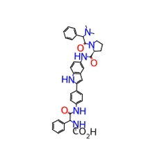 CN(C)C(C(=O)N1CCC[C@H]1C(=O)Nc1ccc2[nH]c(-c3ccc(NC(=O)C(NC(=O)O)c4ccccc4)cc3)cc2c1)c1ccccc1